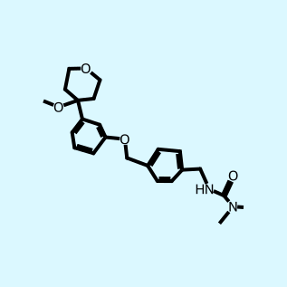 COC1(c2cccc(OCc3ccc(CNC(=O)N(C)C)cc3)c2)CCOCC1